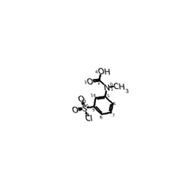 CN(C(=O)O)c1cccc(S(=O)(=O)Cl)c1